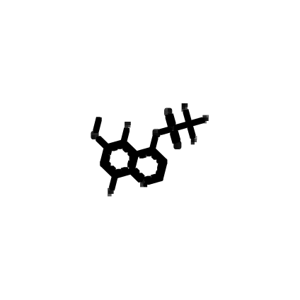 COc1cc(F)c2nccc(OS(=O)(=O)C(F)(F)F)c2c1F